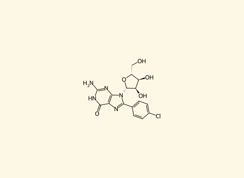 Nc1nc2c(nc(-c3ccc(Cl)cc3)n2[C@@H]2O[C@H](CO)[C@@H](O)[C@H]2O)c(=O)[nH]1